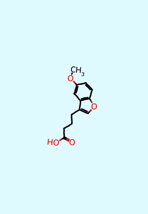 COc1ccc2occ(CCCC(=O)O)c2c1